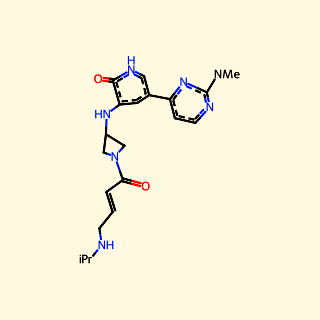 CNc1nccc(-c2c[nH]c(=O)c(NC3CN(C(=O)/C=C/CNC(C)C)C3)c2)n1